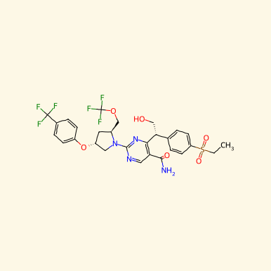 CCS(=O)(=O)c1ccc([C@@H](CO)c2nc(N3C[C@H](Oc4ccc(C(F)(F)F)cc4)C[C@H]3COC(F)(F)F)ncc2C(N)=O)cc1